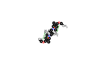 C=Cc1ccc(Oc2ccc(C3(c4cc(F)c(F)cc4F)c4ccccc4-c4ccc(N(c5ccc(F)cc5)c5ccc6c(c5)C5(CC6(C)C)CC(C)(C)c6ccc(N(c7ccc(F)cc7)c7ccc8c(c7)C(c7ccc(Oc9ccc(C=C)cc9)cc7)(c7cc(F)c(F)cc7F)c7ccccc7-8)cc65)cc43)cc2)cc1